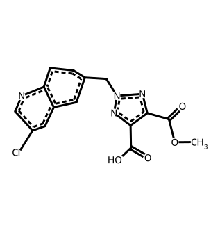 COC(=O)c1nn(Cc2ccc3ncc(Cl)cc3c2)nc1C(=O)O